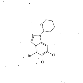 Clc1cc2c(cnn2C2CCCCO2)c(Br)c1Cl